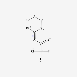 O=C(/C=C1/NCCCS1)C(F)(F)Cl